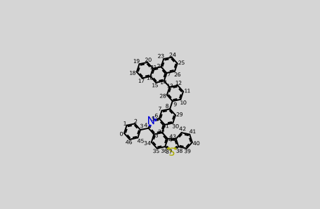 c1ccc(-c2nc3cc(-c4cccc(-c5cc6ccccc6c6ccccc56)c4)ccc3c3c2ccc2sc4ccccc4c23)cc1